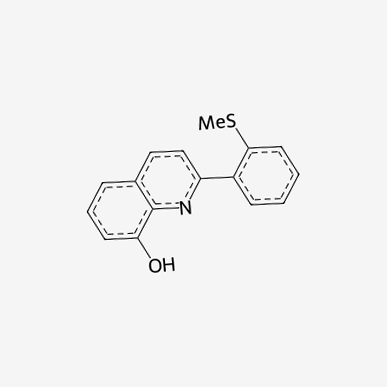 CSc1ccccc1-c1ccc2cccc(O)c2n1